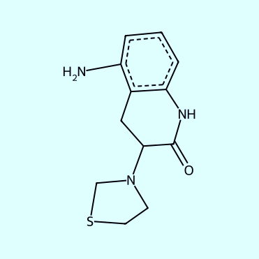 Nc1cccc2c1CC(N1CCSC1)C(=O)N2